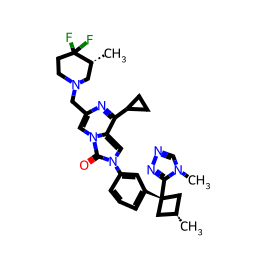 C[C@@H]1CN(Cc2cn3c(=O)n(-c4cccc([C@]5(c6nncn6C)C[C@@H](C)C5)c4)cc3c(C3CC3)n2)CCC1(F)F